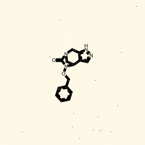 O=C1N2Cc3[nH]ncc3C(C2)N1OCc1ccccc1